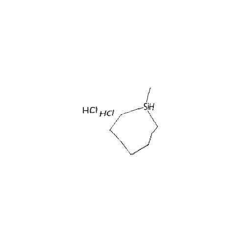 C[SiH]1CCCCC1.Cl.Cl